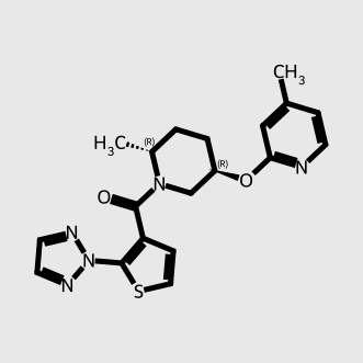 Cc1ccnc(O[C@@H]2CC[C@@H](C)N(C(=O)c3ccsc3-n3nccn3)C2)c1